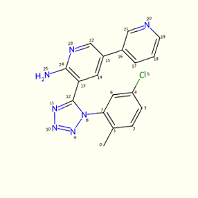 Cc1ccc(Cl)cc1-n1nnnc1-c1cc(-c2cccnc2)cnc1N